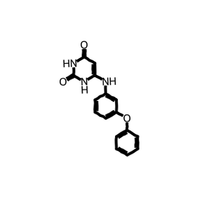 O=c1cc(Nc2cccc(Oc3ccccc3)c2)[nH]c(=O)[nH]1